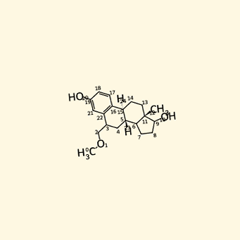 COCC1C[C@H]2C3CCC(O)[C@@]3(C)CC[C@@H]2c2ccc(O)cc21